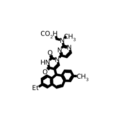 CCc1ccc2c(c1)C=Cc1cc(C)ccc1C2c1cn(-c2ccnc(N(C)CC(=O)O)n2)c(=O)[nH]c1=O